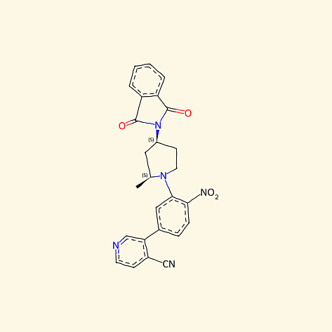 C[C@H]1C[C@@H](N2C(=O)c3ccccc3C2=O)CCN1c1cc(-c2cnccc2C#N)ccc1[N+](=O)[O-]